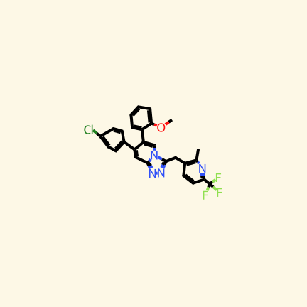 COc1ccccc1-c1cn2c(Cc3ccc(C(F)(F)F)nc3C)nnc2cc1-c1ccc(Cl)cc1